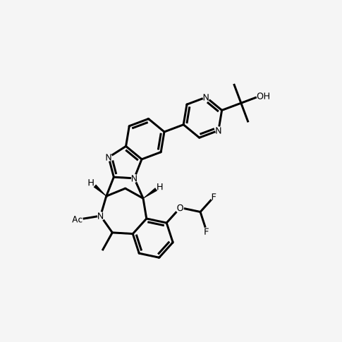 CC(=O)N1C(C)c2cccc(OC(F)F)c2[C@@H]2C[C@H]1c1nc3ccc(-c4cnc(C(C)(C)O)nc4)cc3n12